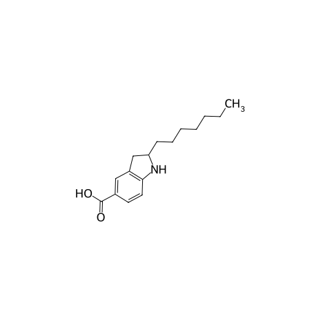 CCCCCCCC1Cc2cc(C(=O)O)ccc2N1